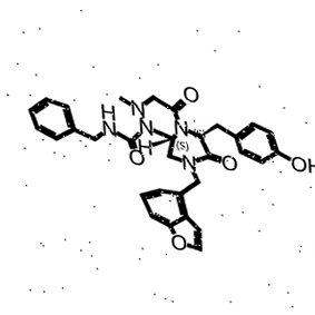 CN1CC(=O)N2[C@@H](Cc3ccc(O)cc3)C(=O)N(Cc3cccc4occc34)C[C@@H]2N1C(=O)NCc1ccccc1